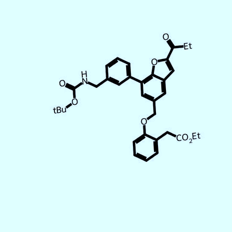 CCOC(=O)Cc1ccccc1OCc1cc(-c2cccc(CNC(=O)OC(C)(C)C)c2)c2oc(C(=O)CC)cc2c1